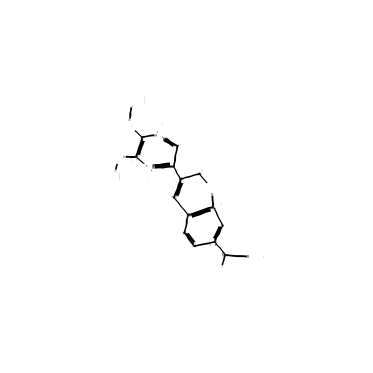 COc1ncc(C2=Cc3ccc(C(F)F)cc3SC2)nc1OC